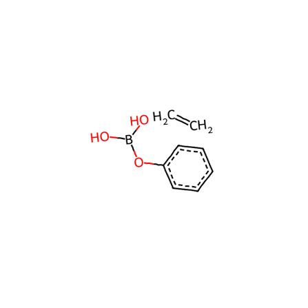 C=C.OB(O)Oc1ccccc1